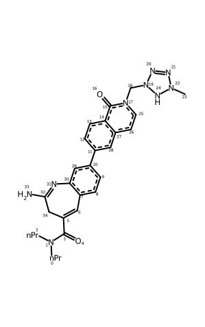 CCCN(CCC)C(=O)C1=Cc2ccc(-c3ccc4c(=O)n(CN5N=NN(C)N5)ccc4c3)cc2N=C(N)C1